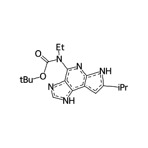 CCN(C(=O)OC(C)(C)C)c1nc2[nH]c(C(C)C)cc2c2[nH]cnc12